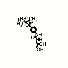 CC1(C)OB(c2ccc(NC(=O)NC[C@@H](O)CO)cc2)OC1(C)C